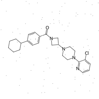 O=C(c1ccc(C2CCCCC2)cc1)N1CC(N2CCN(c3ncccc3Cl)CC2)C1